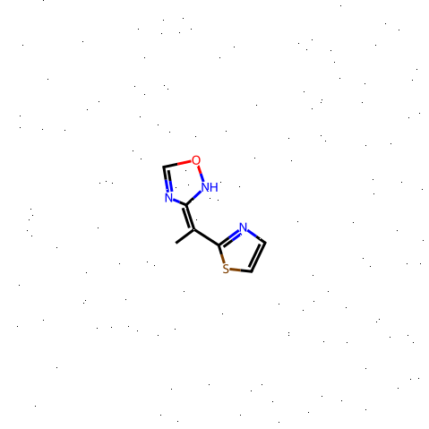 CC(=C1N=CON1)c1nccs1